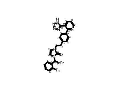 CCCC(c1ccccc1F)n1ccn(CCc2ccc(-c3ncccc3-c3nnn[nH]3)cc2)c1=O